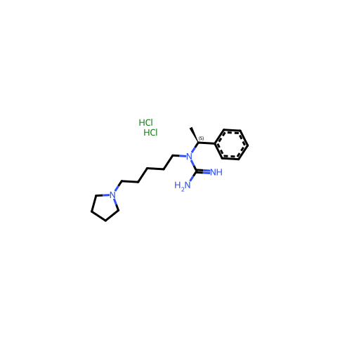 C[C@@H](c1ccccc1)N(CCCCCN1CCCC1)C(=N)N.Cl.Cl